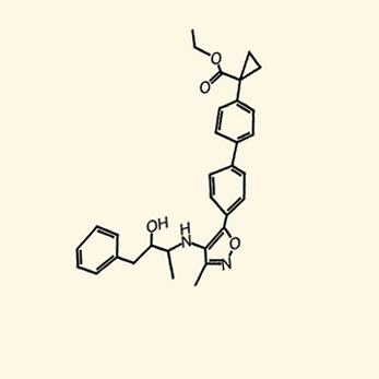 CCOC(=O)C1(c2ccc(-c3ccc(-c4onc(C)c4NC(C)C(O)Cc4ccccc4)cc3)cc2)CC1